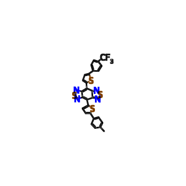 Cc1ccc(-c2ccc(-c3c4c(c(-c5ccc(-c6ccc(C(F)(F)F)cc6)s5)c5nsnc35)N=S=N4)s2)cc1